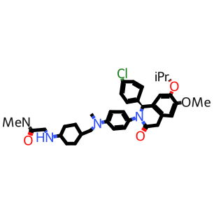 CNC(=O)CNC1CCC(CN(C)c2ccc(N3C(=O)Cc4cc(OC)c(OC(C)C)cc4[C@@H]3c3ccc(Cl)cc3)cc2)CC1